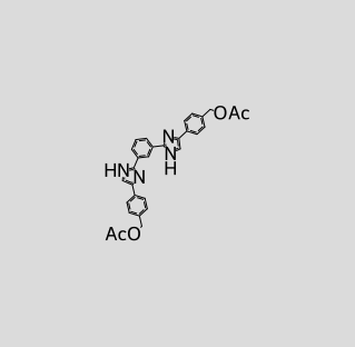 CC(=O)OCc1ccc(-c2c[nH]c(-c3cccc(-c4nc(-c5ccc(COC(C)=O)cc5)c[nH]4)c3)n2)cc1